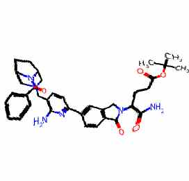 CC(C)(C)OC(=O)CCC(C(N)=O)N1Cc2cc(-c3ccc(CN4CC5CCC(C4)N5C(=O)c4ccccc4)c(N)n3)ccc2C1=O